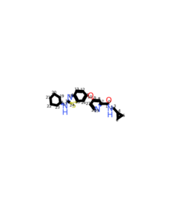 O=C(NCC1CC1)c1cc(Oc2ccc3nc(NC4CCCCC4)sc3c2)ccn1